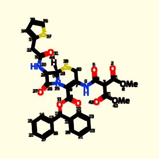 COC(=O)C(C(=O)NC1=C(C(=O)OC(c2ccccc2)c2ccccc2)N2C(=O)C(NC(=O)Cc3cccs3)[C@@H]2SC1)C(=O)OC